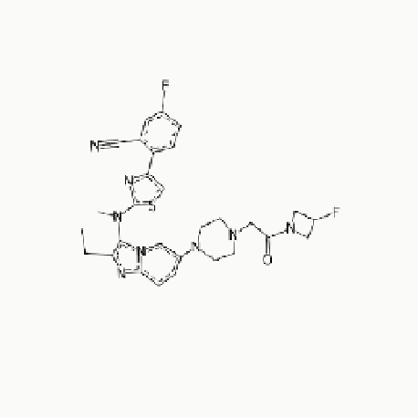 CCc1nc2ccc(N3CCN(CC(=O)N4CC(F)C4)CC3)cn2c1N(C)c1nc(-c2ccc(F)cc2C#N)cs1